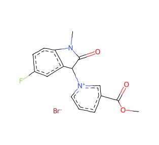 COC(=O)c1ccc[n+](C2C(=O)N(C)c3ccc(F)cc32)c1.[Br-]